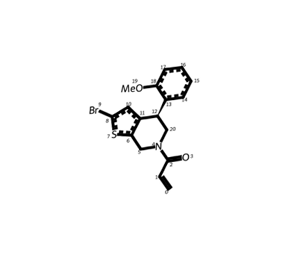 C=CC(=O)N1Cc2sc(Br)cc2[C@@H](c2ccccc2OC)C1